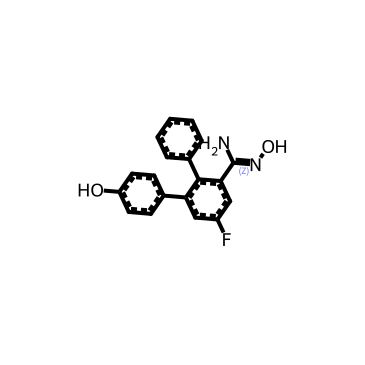 N/C(=N\O)c1cc(F)cc(-c2ccc(O)cc2)c1-c1ccccc1